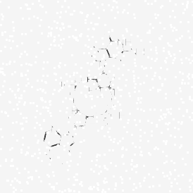 Nc1nc2c(nnn2[C@@H]2O[C@@H]3COP(O)(=S)O[C@H]4[C@H](F)[C@H](n5cnc6c(N)ccnc65)O[C@@H]4COP(O)(=S)O[C@@H]2[C@H]3F)c(=O)[nH]1